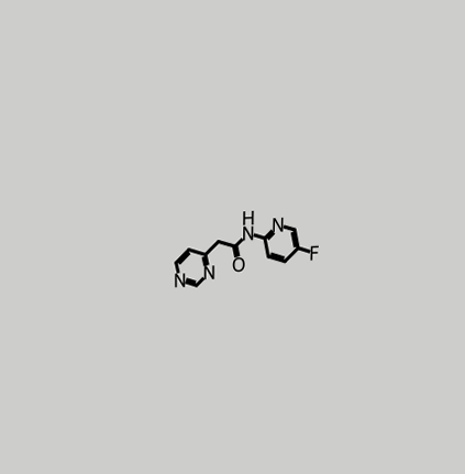 O=C(Cc1ccncn1)Nc1ccc(F)cn1